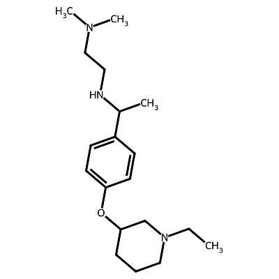 CCN1CCCC(Oc2ccc(C(C)NCCN(C)C)cc2)C1